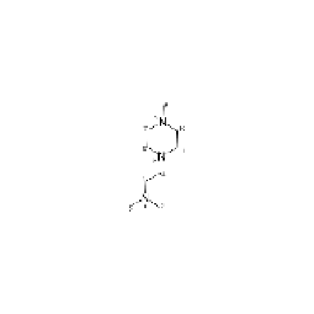 CN(C)CCN1CCN(C)CC1